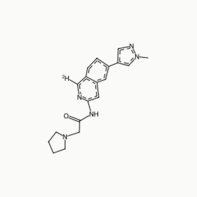 [2H]c1nc(NC(=O)CN2CCCC2)cc2cc(-c3cnn(C)c3)ccc12